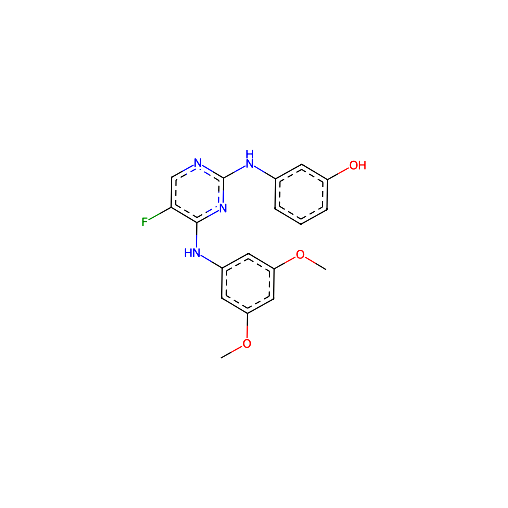 COc1cc(Nc2nc(Nc3cccc(O)c3)ncc2F)cc(OC)c1